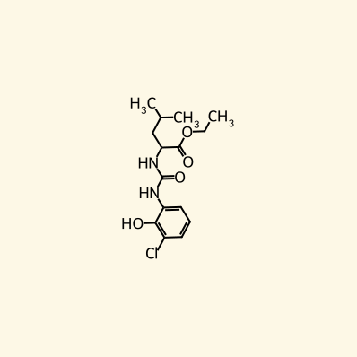 CCOC(=O)C(CC(C)C)NC(=O)Nc1cccc(Cl)c1O